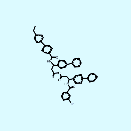 CCc1ccc(-c2ccc(C(=O)NC(CC(=O)OC(=O)CC(NC(=O)c3cccc(Br)c3)c3ccc(-c4ccccc4)cc3)c3ccc(-c4ccccc4)cc3)cc2)cc1